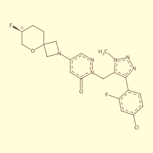 Cn1nnc(-c2ccc(Cl)cc2F)c1Cn1ncc(N2CC3(CC[C@H](F)CO3)C2)cc1=O